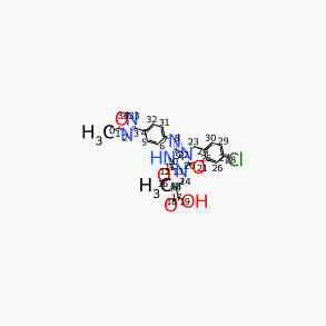 Cc1nc(-c2ccc(/N=c3\[nH]c(=O)n(C[C@H](C)C(=O)O)c(=O)n3Cc3ccc(Cl)cc3)cc2)no1